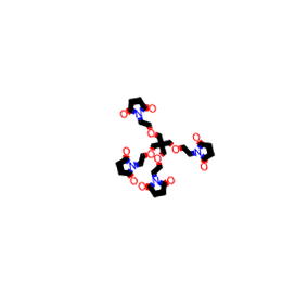 O=C1C=CC(=O)N1CCOCC(COCCN1C(=O)C=CC1=O)(COCCN1C(=O)C=CC1=O)COCCN1C(=O)C=CC1=O